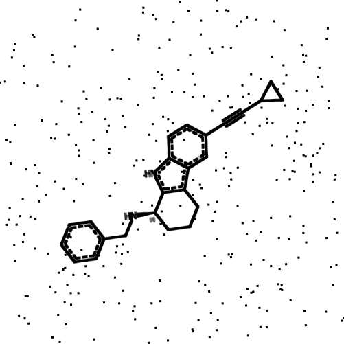 C(#CC1CC1)c1ccc2[nH]c3c(c2c1)CCC[C@H]3NCc1ccccc1